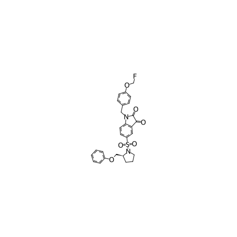 O=C1C(=O)N(Cc2ccc(OCF)cc2)c2ccc(S(=O)(=O)N3CCC[C@H]3COc3ccccc3)cc21